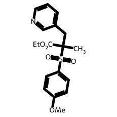 CCOC(=O)C(C)(Cc1cccnc1)S(=O)(=O)c1ccc(OC)cc1